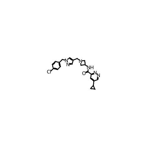 O=C(NC1CN(Cc2cnn(Cc3ccc(Cl)cc3)c2)C1)c1cc(C2CC2)cnn1